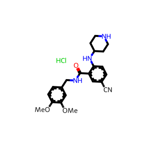 COc1ccc(CNC(=O)c2cc(C#N)ccc2NC2CCNCC2)cc1OC.Cl